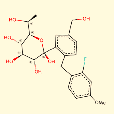 COc1ccc(Cc2ccc(CO)cc2[C@@]2(O)O[C@H]([C@H](C)O)[C@@H](O)[C@H](O)[C@H]2O)c(F)c1